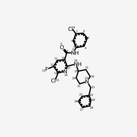 O=C(Nc1cccc(Cl)c1)c1cc(F)c(Cl)nc1NC1CCN(Cc2ccccc2)CC1